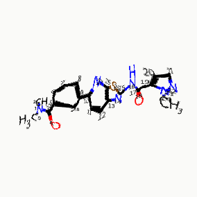 CN(C)C(=O)c1cccc(-c2ccc3nc(NC(=O)c4ccnn4C)sc3n2)c1